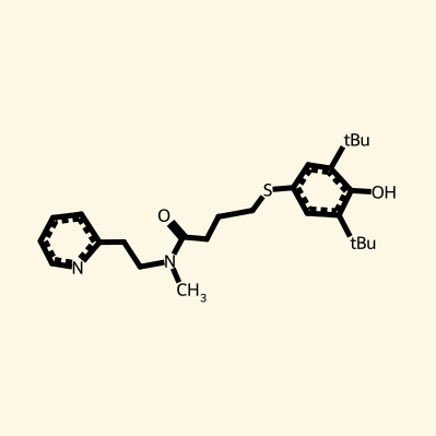 CN(CCc1ccccn1)C(=O)CCCSc1cc(C(C)(C)C)c(O)c(C(C)(C)C)c1